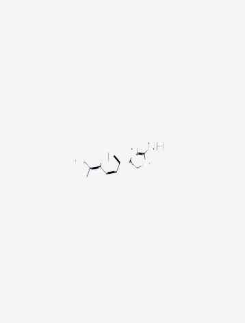 C=C(/C=C\C(Cl)=C(/C)Cl)[C@H]1COC(N)=N1